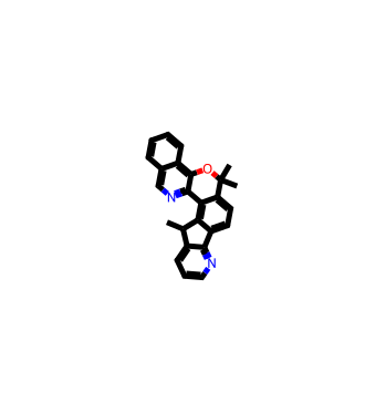 CC1c2cccnc2-c2ccc3c(c21)-c1ncc2ccccc2c1OC3(C)C